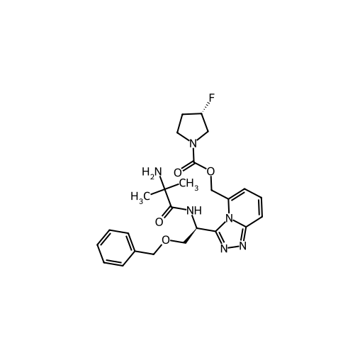 CC(C)(N)C(=O)N[C@H](COCc1ccccc1)c1nnc2cccc(COC(=O)N3CC[C@H](F)C3)n12